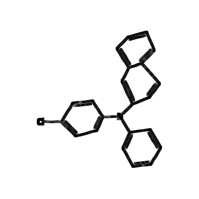 Clc1ccc(N(c2ccccc2)c2ccc3ccccc3c2)cc1